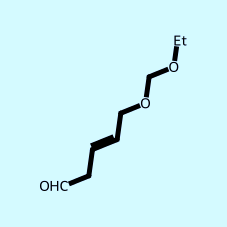 CCOCOCC=CCC=O